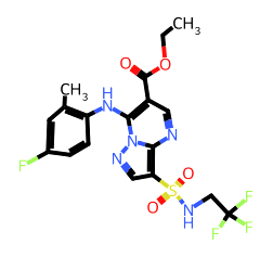 CCOC(=O)c1cnc2c(S(=O)(=O)NCC(F)(F)F)cnn2c1Nc1ccc(F)cc1C